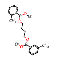 CCOB(OCCCCOB(OCC)c1ccccc1C)c1cccc(C)c1